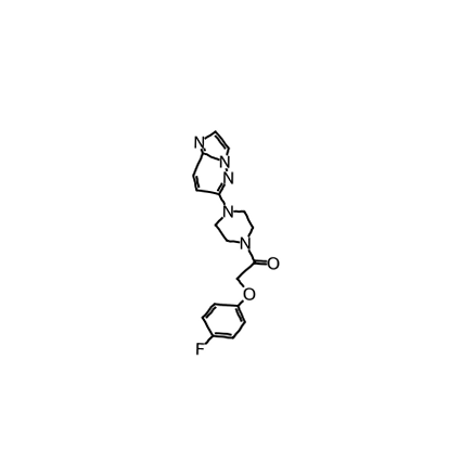 O=C(COc1ccc(F)cc1)N1CCN(c2ccc3nccn3n2)CC1